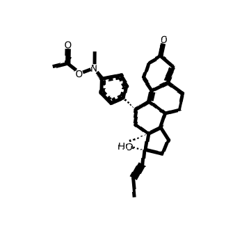 CC#C[C@]1(O)CCC2C3CCC4=CC(=O)CCC4=C3[C@@H](c3ccc(N(C)OC(C)=O)cc3)C[C@@]21C